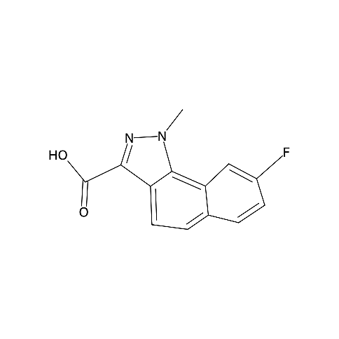 Cn1nc(C(=O)O)c2ccc3ccc(F)cc3c21